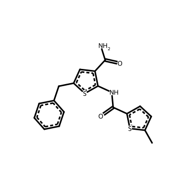 Cc1ccc(C(=O)Nc2sc(Cc3ccccc3)cc2C(N)=O)s1